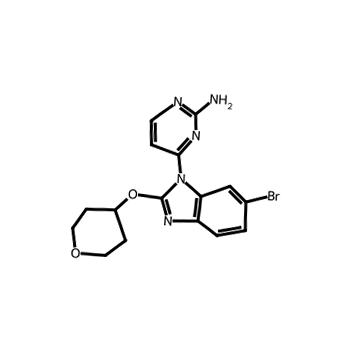 Nc1nccc(-n2c(OC3CCOCC3)nc3ccc(Br)cc32)n1